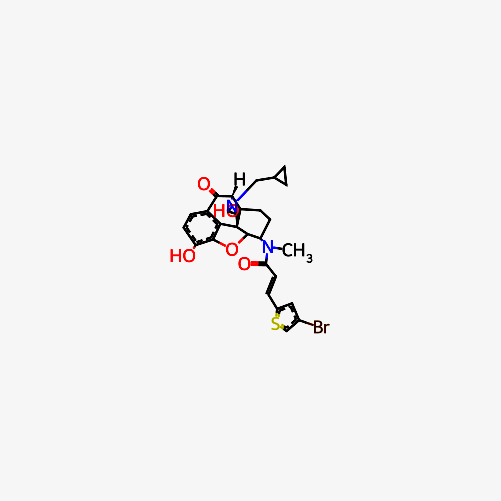 CN(C(=O)/C=C/c1cc(Br)cs1)C1CC[C@@]2(O)[C@H]3C(=O)c4ccc(O)c5c4[C@@]2(CCN3CC2CC2)C1O5